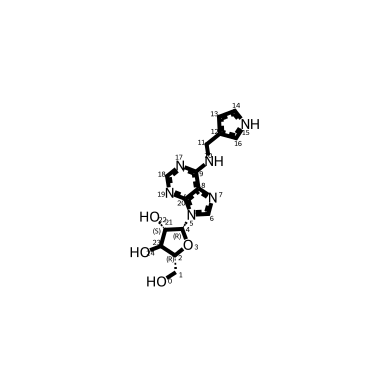 OC[C@H]1O[C@@H](n2cnc3c(NCc4cc[nH]c4)ncnc32)[C@@H](O)C1O